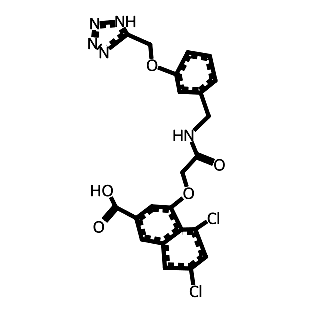 O=C(COc1cc(C(=O)O)cc2cc(Cl)cc(Cl)c12)NCc1cccc(OCc2nnn[nH]2)c1